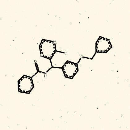 O=C(NC(c1cccc(OCc2ccccc2)c1)c1nccnc1Cl)c1ccccc1